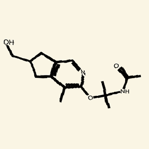 CC(=O)NC(C)(C)Oc1ncc2c(c1C)CC(CO)C2